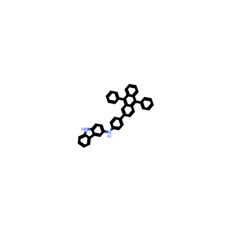 c1ccc(-c2c3ccccc3c(-c3ccccc3)c3cc(-c4ccc(Nc5ccc6[nH]c7ccccc7c6c5)cc4)ccc23)cc1